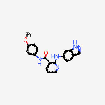 CC(C)Oc1ccc(NC(=O)c2cccnc2Nc2ccc3cn[nH]c3c2)cc1